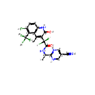 Cc1c(C(F)(F)C(=O)N[C@H](C)c2ncc(C#N)cn2)c(=O)[nH]c2ccc(F)c(C(F)(F)F)c12